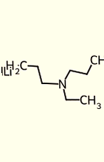 [CH2]CCN(CC)CCC.[LiH]